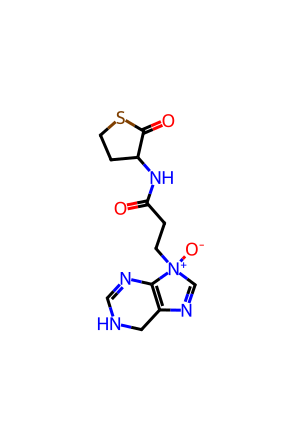 O=C(CC[N+]1([O-])C=NC2=C1N=CNC2)NC1CCSC1=O